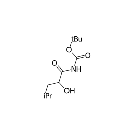 CC(C)CC(O)C(=O)NC(=O)OC(C)(C)C